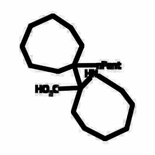 CCCCCC1(C2(C(=O)O)CCCCCCN2)CCCCCCC1